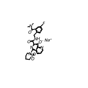 CN(C)C(=O)c1cc(F)ccc1CNC(=O)c1nc(N2CCCCS2(=O)=O)c2cccnc2c1[O-].[Na+]